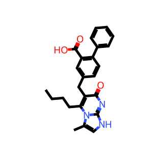 CCCCc1c(Cc2ccc(-c3ccccc3)c(C(=O)O)c2)c(=O)nc2[nH]cc(C)n12